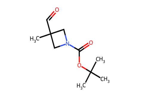 CC1(C=O)CN(C(=O)OC(C)(C)C)C1